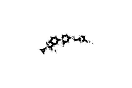 Cc1csc(COc2ccn(-c3ccc4nn(C5CC5)c(C)c4c3)c(=O)c2)n1